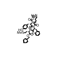 CSCC[C@H](NC(=O)[C@H](Cc1ccccc1)N(C(=O)CCCCN)C(=O)[C@H](Cc1ccc(O)cc1)NC(=O)OC(C)(C)C)C(=O)OCc1ccccc1